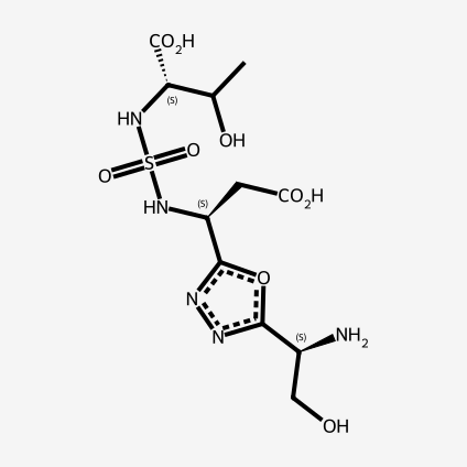 CC(O)[C@H](NS(=O)(=O)N[C@@H](CC(=O)O)c1nnc([C@@H](N)CO)o1)C(=O)O